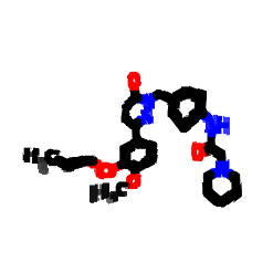 CCCOc1cc(C2=NN(Cc3ccc(NC(=O)CN4CCCCC4)cc3)C(=O)CC2)ccc1OC